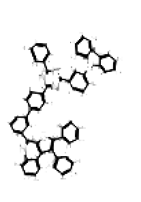 c1ccc(-c2nc(-c3ccc(-c4cccc(-c5nc6ccccc6c6c(-c7ccccc7)c(-c7ccccc7)sc56)c4)cc3)nc(-c3cccc(-n4c5ccccc5c5ccccc54)c3)n2)cc1